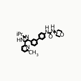 Cc1cccc(-c2[nH]c(C(C)C)nc2-c2cccc(-c3ccc(NC(=O)NN4CCOCC4)cc3)c2)n1